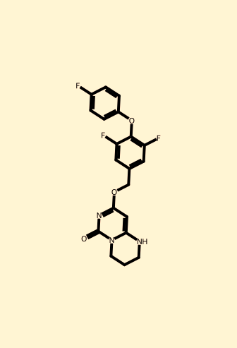 O=c1nc(OCc2cc(F)c(Oc3ccc(F)cc3)c(F)c2)cc2n1CCCN2